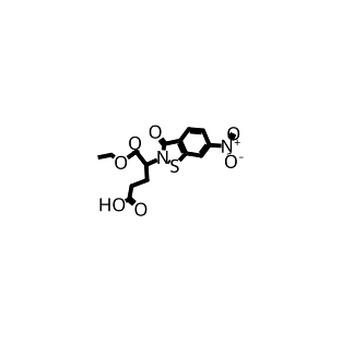 CCOC(=O)C(CCC(=O)O)n1sc2cc([N+](=O)[O-])ccc2c1=O